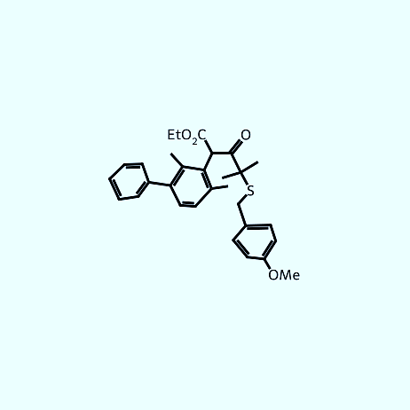 CCOC(=O)C(C(=O)C(C)(C)SCc1ccc(OC)cc1)c1c(C)ccc(-c2ccccc2)c1C